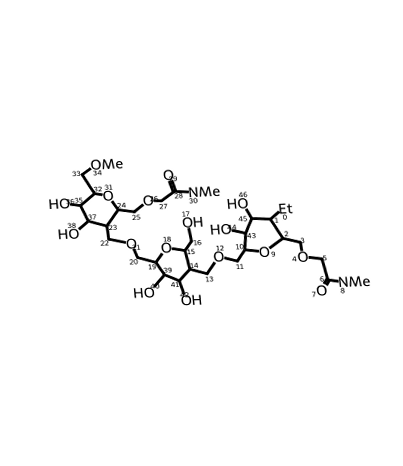 CCC1C(COCC(=O)NC)OC(COCC2C(CO)OC(COCC3C(COCC(=O)NC)OC(COC)C(O)C3O)C(O)C2O)C(O)C1O